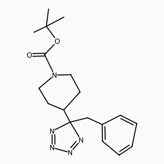 CC(C)(C)OC(=O)N1CCC(C2(Cc3ccccc3)N=NN=N2)CC1